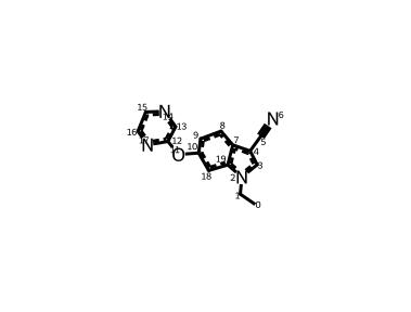 CCn1cc(C#N)c2ccc(Oc3cnccn3)cc21